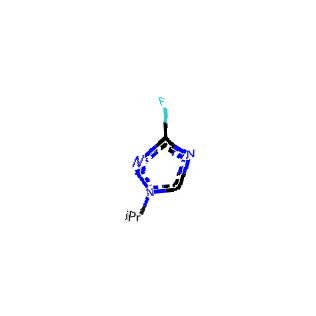 CC(C)n1cnc(F)n1